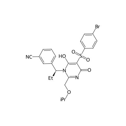 CC[C@@H](c1cccc(C#N)c1)n1c(COC(C)C)nc(=O)c(S(=O)(=O)c2ccc(Br)cc2)c1O